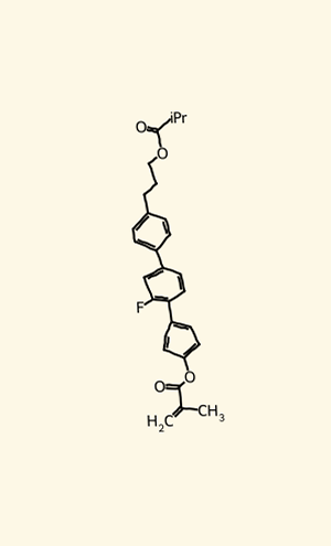 C=C(C)C(=O)Oc1ccc(-c2ccc(-c3ccc(CCCOC(=O)C(C)C)cc3)cc2F)cc1